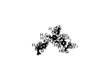 CC(C)OC(=O)c1cc(-n2c(=O)cc(C(F)(F)F)n(C)c2=O)ccc1Cl.CCc1cccc(C)c1N(C(=O)CCl)C(C)COC.CP(=O)(O)CCC(N)C(=O)O.CS(=O)(=O)c1cc(C(F)(F)F)ccc1C(=O)c1cnoc1C1CC1